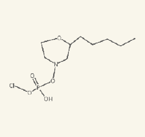 CCCCCC1CN(OP(=O)(O)OCl)CCO1